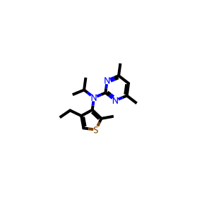 CCc1csc(C)c1N(c1nc(C)cc(C)n1)C(C)C